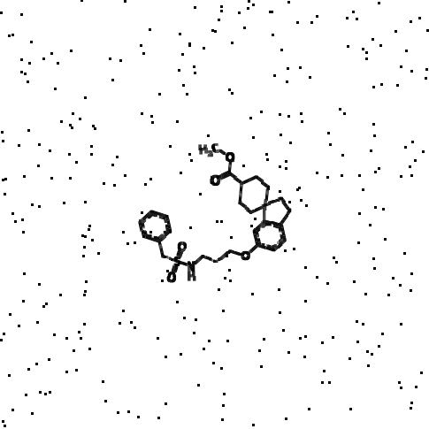 COC(=O)C1CCC2(CCc3ccc(OCCCNS(=O)(=O)Cc4ccccc4)cc32)CC1